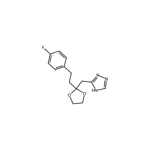 Fc1ccc(CCC2(Cc3nnc[nH]3)OCCO2)cc1